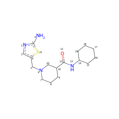 Nc1ncc(CN2CCCC(C(=O)NC3CCCCC3)C2)s1